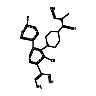 CN(C=N)C(=N)C1CCN(c2c(-c3ccc(F)nc3)ccc(/C(C=N)=C/N)c2C#N)CC1